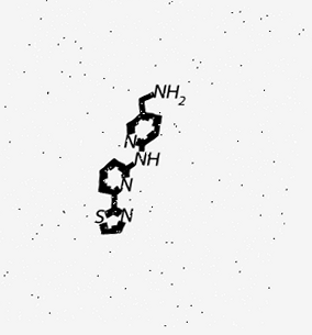 NCc1ccc(Nc2cccc(-c3nccs3)n2)nc1